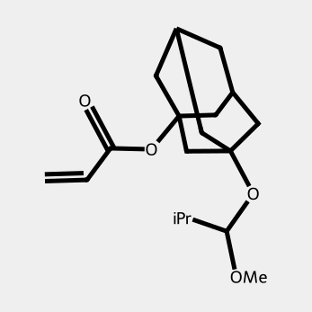 C=CC(=O)OC12CC3CC(C1)CC(OC(OC)C(C)C)(C3)C2